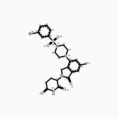 O=C1CCC(N2Cc3c(cc(F)cc3N3CCN(S(=O)(=O)c4cccc(Br)c4)CC3)C2=O)C(=O)N1